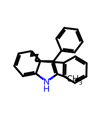 CC1=C(c2ccccc2)C23C(=CCC2c2ccccc2)C=CC=C3N1